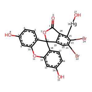 O=C1OC2(c3ccc(O)cc3Oc3cc(O)ccc32)c2cc(Br)c(Br)[c]([Hg][OH])c21